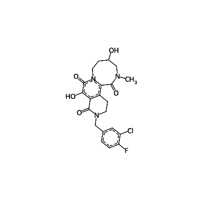 CN1CC(O)CCn2c(c3c(c(O)c2=O)C(=O)N(Cc2ccc(F)c(Cl)c2)CC3)C1=O